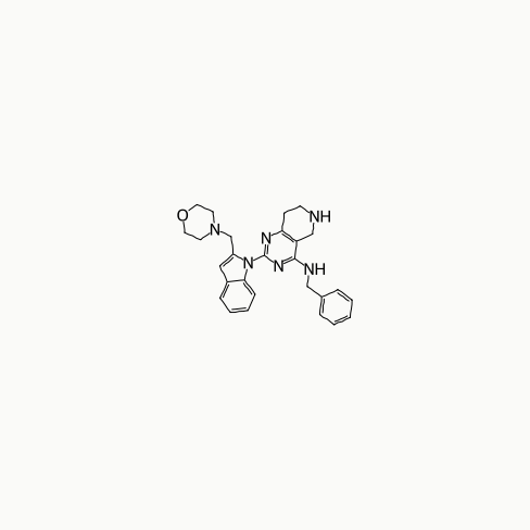 c1ccc(CNc2nc(-n3c(CN4CCOCC4)cc4ccccc43)nc3c2CNCC3)cc1